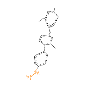 Cc1ccc(-c2ccc(-c3ccc(PP)cc3)c(C)c2)c(C)c1